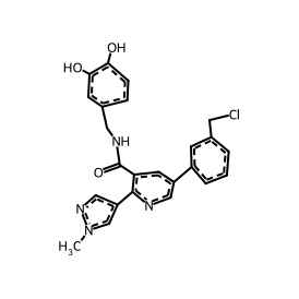 Cn1cc(-c2ncc(-c3cccc(CCl)c3)cc2C(=O)NCc2ccc(O)c(O)c2)cn1